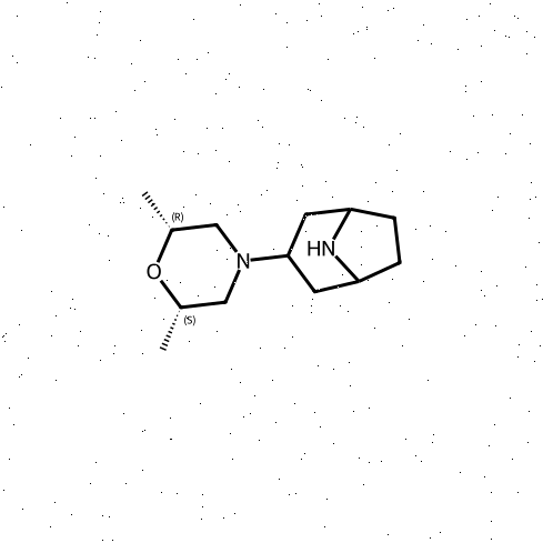 C[C@@H]1CN(C2CC3CCC(C2)N3)C[C@H](C)O1